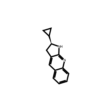 [c]1ccc2cc3c(nc2c1)N[C@H](C1CC1)C3